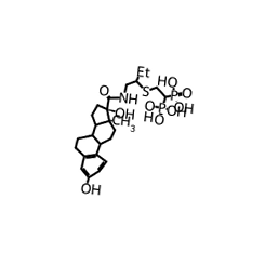 CCC(CNC(=O)[C@@]1(O)CCC2C3CCc4cc(O)ccc4C3CC[C@@]21C)SCC(P(=O)(O)O)P(=O)(O)O